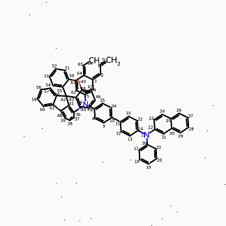 C=C/C=c1/cc(N(c2ccc(-c3ccc(N(c4ccccc4)c4ccc5ccccc5c4)cc3)cc2)c2cccc3c2C2(c4ccccc4Sc4ccccc42)c2ccccc2-3)cc/c1=C/C